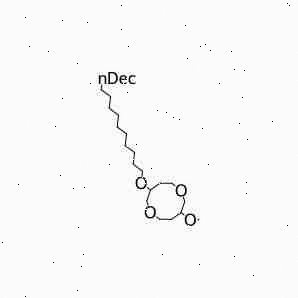 [CH2]CCCCCCCCCCCCCCCCCCCOC1CCOCC([O])CCOC1